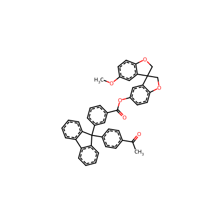 COc1ccc2c(c1)C1(CO2)COc2ccc(OC(=O)c3cccc(C4(c5ccc(C(C)=O)cc5)c5ccccc5-c5ccccc54)c3)cc21